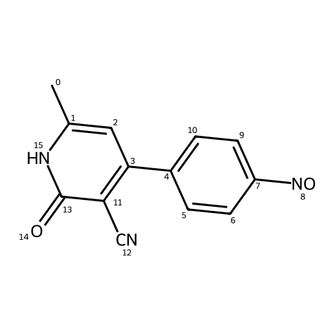 Cc1cc(-c2ccc(N=O)cc2)c(C#N)c(=O)[nH]1